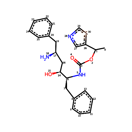 CC(OC(=O)N[C@@H](Cc1ccccc1)[C@@H](O)C[C@@H](N)Cc1ccccc1)c1cncs1